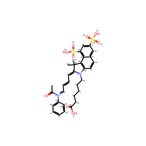 CC(=O)[N+](=CC=CC=C1N(CCCCCC(=O)O)c2ccc3cc(S(=O)(=O)O)cc(S(=O)(=O)O)c3c2C1(C)C)c1ccccc1